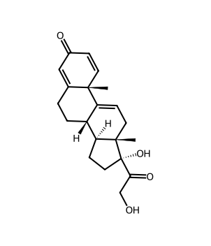 C[C@]12C=CC(=O)C=C1CC[C@@H]1C2=CC[C@@]2(C)[C@H]1CC[C@]2(O)C(=O)CO